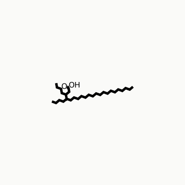 CCCCCCCCCCCCCCCCCC[C](CCCC)C(CCCC)CC(=O)O